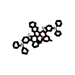 Cc1cccc(-c2c(-c3c4ccccc4c(-c4sc5ccc(N(c6ccccc6)c6ccccc6)cc5c4-c4cccc(C)c4)c4cc5ccccc5cc34)sc3ccc(N(c4ccccc4)c4ccccc4)cc23)c1